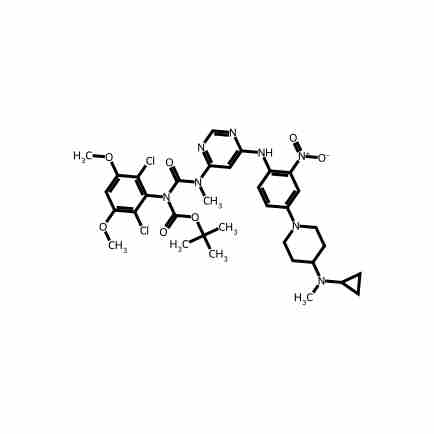 COc1cc(OC)c(Cl)c(N(C(=O)OC(C)(C)C)C(=O)N(C)c2cc(Nc3ccc(N4CCC(N(C)C5CC5)CC4)cc3[N+](=O)[O-])ncn2)c1Cl